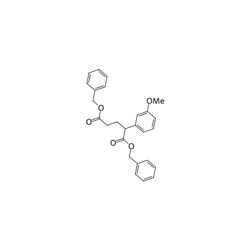 COc1cccc(C(CCC(=O)OCc2ccccc2)C(=O)OCc2ccccc2)c1